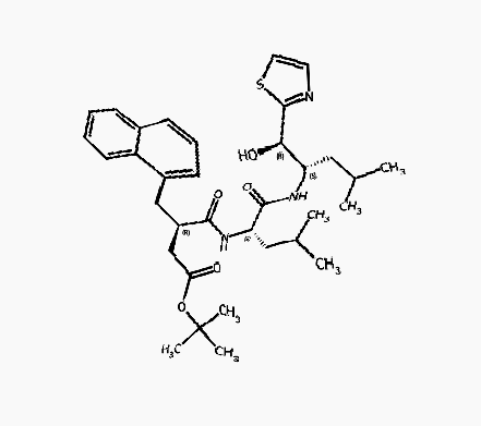 CC(C)C[C@H](NC(=O)[C@@H](CC(=O)OC(C)(C)C)Cc1cccc2ccccc12)C(=O)N[C@@H](CC(C)C)[C@@H](O)c1nccs1